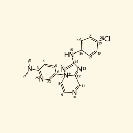 CN(C)c1ccc([N+]23C=CN=CC2=NC(Nc2ccc(Cl)cc2)=N3)cn1